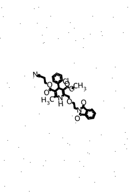 COC(=O)C1=C(COCCN2C(=O)c3ccccc3C2=O)NC(C)=C(C(=O)OCCC#N)C1c1ccccc1Cl